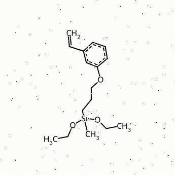 C=Cc1cccc(OCCC[Si](C)(OCC)OCC)c1